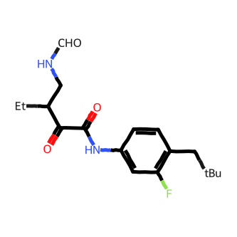 CCC(CNC=O)C(=O)C(=O)Nc1ccc(CC(C)(C)C)c(F)c1